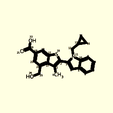 Cc1c(-c2cc3ccccc3n2CC2CC2)sc2cc(C(=O)O)cc(CO)c12